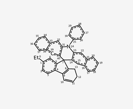 CCc1ccc2c(c1)C1(C3=C2C=CCC3)c2cc3ccccc3cc2N(c2ccccc2)c2cc3ccccc3cc21